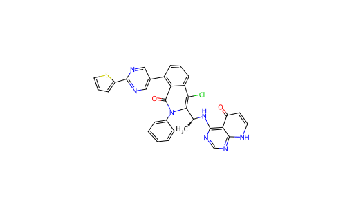 C[C@H](Nc1ncnc2[nH]ccc(=O)c12)c1c(Cl)c2cccc(-c3cnc(-c4cccs4)nc3)c2c(=O)n1-c1ccccc1